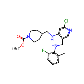 Cc1cccc(F)c1NCc1cnc(Cl)cc1NCC1CCN(C(=O)OC(C)(C)C)CC1